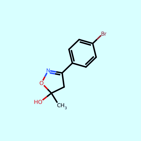 CC1(O)CC(c2ccc(Br)cc2)=NO1